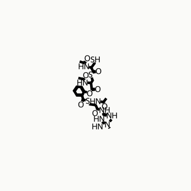 CC(=O)NC(CSC(=O)c1ccccc1OC(=O)C(CSC(=O)C(CS)NC(C)=O)NC(C)=O)C(=O)NC(=N)NC(=N)N(C)C